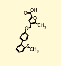 CSc1ccccc1-c1ccc(OCc2cc(C(=O)O)oc2C)cc1